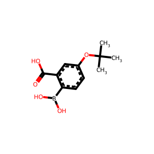 CC(C)(C)Oc1ccc(B(O)O)c(C(=O)O)c1